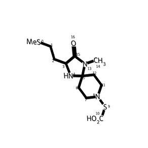 CSCCC1NC2(CCN(SC(=O)O)CC2)N(C)C1=O